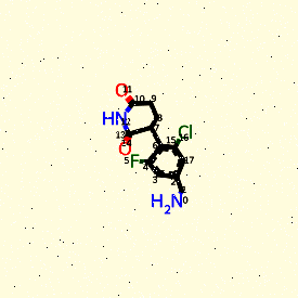 NCc1cc(F)c(C2CCC(=O)NC2=O)c(Cl)c1